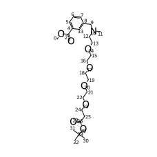 COC(=O)c1cccc(CN(C)CCOCCOCCOCCOCCC(=O)OC(C)(C)C)c1